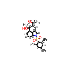 CC(C)c1cc(C(C)C)c(S(=O)(=O)n2cc3c4c(cccc42)C(C)(O)C(C(=O)C(F)(F)F)C3)c(C(C)C)c1